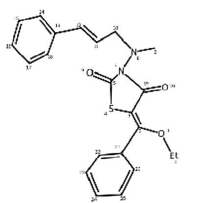 CCOC(=C1SC(=O)N(N(C)CC=Cc2ccccc2)C1=O)c1ccccc1